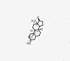 C[C@]12CC[C@H](O)CC1CC[C@H]1C3CCC(=O)[C@@]3(C)CC[C@@H]12